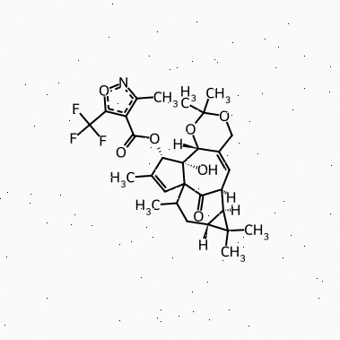 CC1=CC23C(=O)[C@@H](C=C4COC(C)(C)O[C@H]4[C@]2(O)[C@H]1OC(=O)c1c(C)noc1C(F)(F)F)[C@@H]1[C@@H](CC3C)C1(C)C